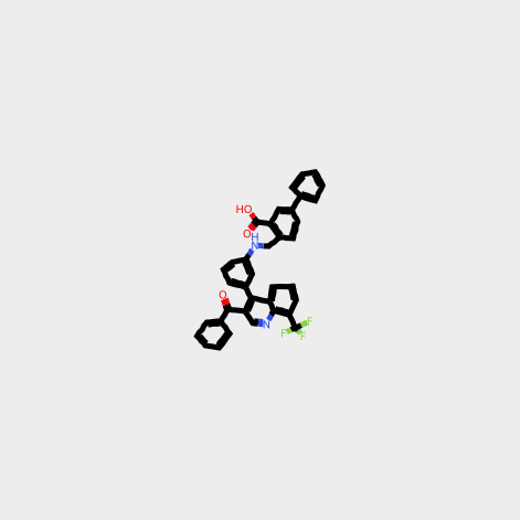 O=C(O)c1cc(-c2ccccc2)ccc1CNc1cccc(-c2c(C(=O)c3ccccc3)cnc3c(C(F)(F)F)cccc23)c1